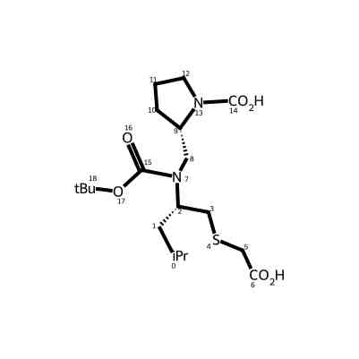 CC(C)C[C@@H](CSCC(=O)O)N(C[C@@H]1CCCN1C(=O)O)C(=O)OC(C)(C)C